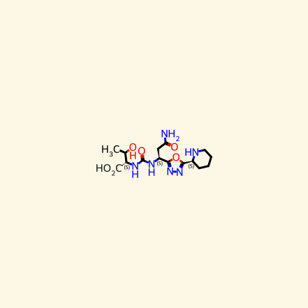 CC(O)[C@H](NC(=O)N[C@@H](CC(N)=O)c1nnc([C@@H]2CCCCN2)o1)C(=O)O